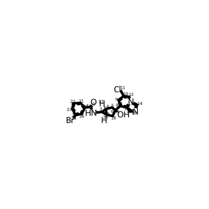 O=C(NC1[C@H]2CC(O)(c3cc(Cl)cn4cncc34)C[C@@H]12)c1cccc(Br)c1